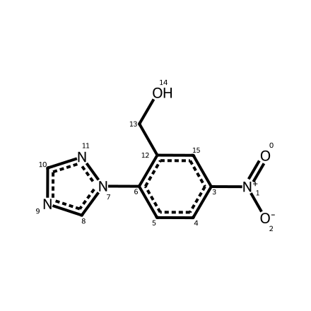 O=[N+]([O-])c1ccc(-n2cncn2)c(CO)c1